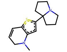 CN1CC=Cc2sc(C34CCCN3CCC4)cc21